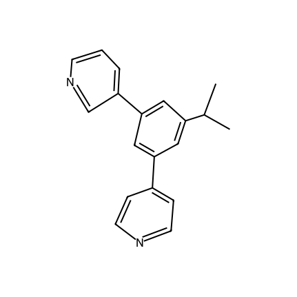 CC(C)c1cc(-c2ccncc2)cc(-c2cccnc2)c1